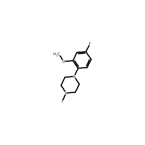 COc1cc(F)ccc1N1CCN(I)CC1